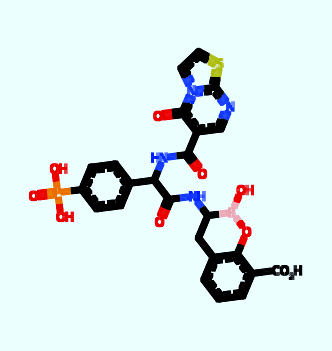 O=C(O)c1cccc2c1OB(O)C(NC(=O)C(NC(=O)c1cnc3sccn3c1=O)c1ccc(P(=O)(O)O)cc1)C2